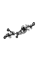 CC(C)(C)OC(=O)N[C@H](CCCCNC(=O)OCC1=CCCC=C1)C(=O)NCCCN(CCCCN(CCCNC(=O)OCc1ccccc1)C(=O)OCc1ccccc1)C(=O)OCc1ccccc1